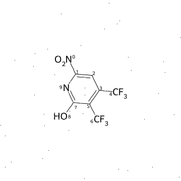 O=[N+]([O-])c1cc(C(F)(F)F)c(C(F)(F)F)c(O)n1